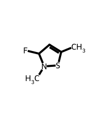 CC1=CC(F)N(C)S1